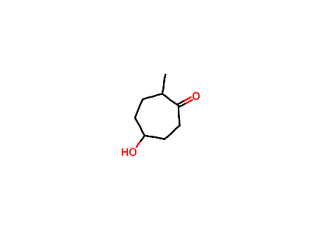 CC1CCC(O)CCC1=O